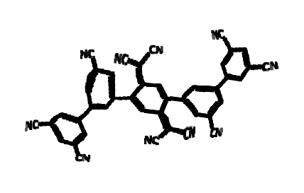 N#CC(C#N)=c1cc(-c2cc(C#N)cc(-c3cc(C#N)cc(C#N)c3)c2)c(=C(C#N)C#N)cc1-c1cc(C#N)cc(-c2cc(C#N)cc(C#N)c2)c1